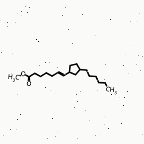 CCCCCCC1CCC(C=CCCCCC(=O)OC)C1